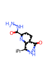 CC(C)c1n[nH]c(=O)c2ccc(C(=O)NN)nc12